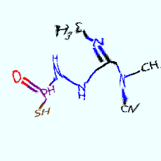 CN=C(NN[PH](=O)S)N(C)C#N